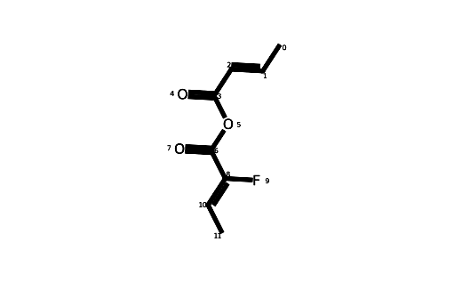 CC=CC(=O)OC(=O)C(F)=CC